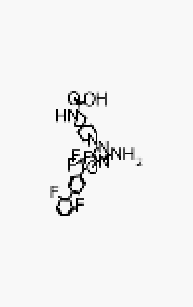 Nc1nc(OC(c2ccc(-c3c(F)cccc3F)cc2)C(F)(F)F)cc(N2CCC3(CC2)CN[C@H](C(=O)O)C3)n1